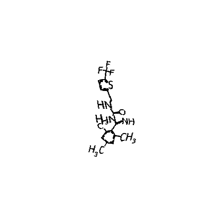 Cc1cc(C)c(C(=N)NC(=O)NCc2ccc(C(F)(F)F)s2)c(C)c1